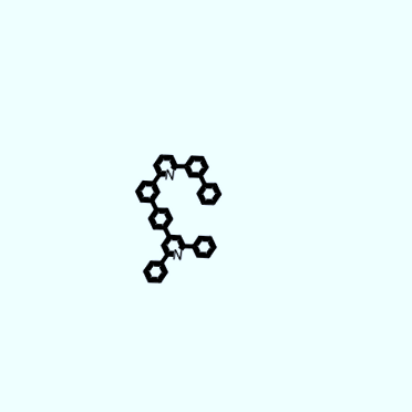 c1ccc(-c2cccc(-c3cccc(-c4cccc(-c5ccc(-c6cc(-c7ccccc7)nc(-c7ccccc7)c6)cc5)c4)n3)c2)cc1